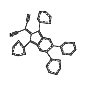 C#CC(C#N)=C1C(c2ccccc2)=c2cc(-c3ccccc3)c(-c3ccccc3)cc2=C1c1ccccc1